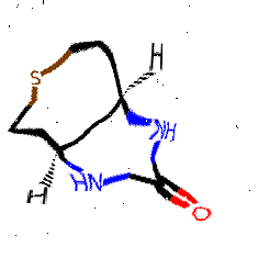 O=C1N[C@H]2CSC[C@H]2N1